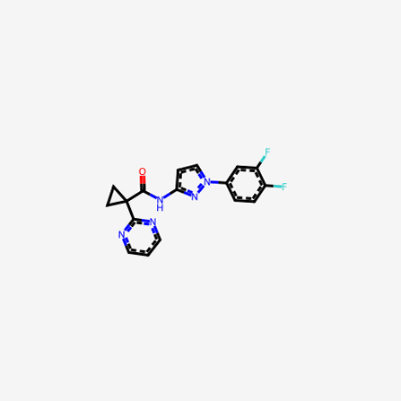 O=C(Nc1ccn(-c2ccc(F)c(F)c2)n1)C1(c2ncccn2)CC1